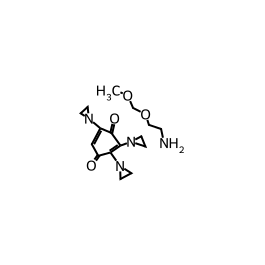 COCOCCN.O=C1C=C(N2CC2)C(=O)C(N2CC2)=C1N1CC1